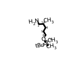 C[C@@H](CN)CCCO[Si](C)(C)C(C)(C)C